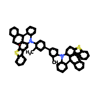 Cc1cc(-c2ccc(N(c3ccc4sc5ccccc5c4c3)c3ccccc3-c3cccc4ccccc34)c(C)c2)ccc1N(c1ccc2sc3ccccc3c2c1)c1ccccc1-c1cccc2ccccc12